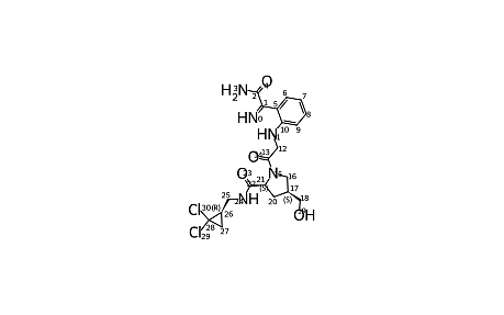 N=C(C(N)=O)c1ccccc1NCC(=O)N1C[C@@H](CO)C[C@H]1C(=O)NC[C@H]1CC1(Cl)Cl